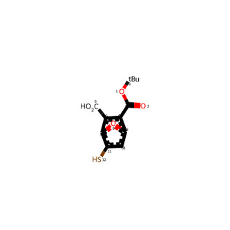 CC(C)(C)OC(=O)c1c(C(=O)O)c2oc1cc2S